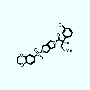 CNC[C@@](F)(C(=O)N1CC2=C(C1)CN(S(=O)(=O)c1ccc3c(c1)OCCO3)C2)c1cccc(Cl)c1